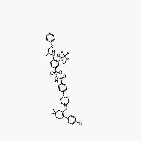 CC(CSc1ccccc1)Nc1ccc(S(=O)(=O)NC(=O)c2ccc(N3CCN(CC4=C(c5ccc(Cl)cc5)CCC(C)(C)C4)CC3)cc2)cc1S(=O)(=O)C(F)(F)F